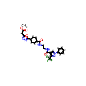 COC(=O)Cc1nnc(C2CCC(C(=O)NCCNC(=O)c3cn(-c4ccccc4)nc3C(F)(F)F)CC2)o1